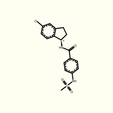 CS(=O)(=O)Nc1ccc(C(=O)N[C@@H]2CCc3cc(Cl)ccc32)cc1